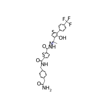 C/C(=N\NC(=O)c1ccc(C(=O)NCc2ccc(CC(N)=O)cc2)s1)c1csc(-c2ccc(C(F)(F)F)cc2)c1O